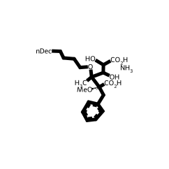 CCCCCCCCCCCCCCOC(C)(C(O)C(O)C(=O)O)[C@@](Cc1ccccc1)(OC)C(=O)O.N